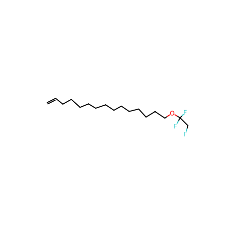 C=CCCCCCCCCCCCCCOC(F)(F)CF